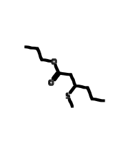 CCCOC(=O)CC(CCC)SC